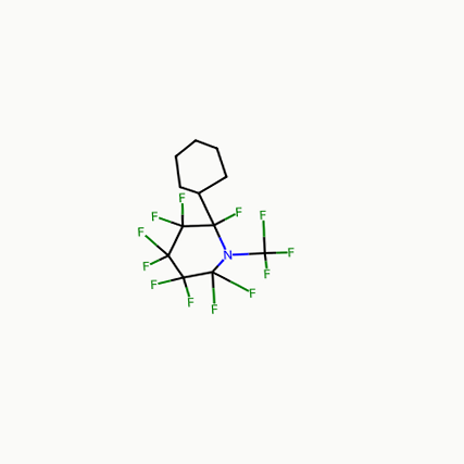 FC(F)(F)N1C(F)(F)C(F)(F)C(F)(F)C(F)(F)C1(F)C1CCCCC1